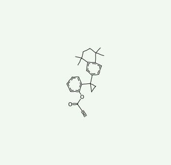 C#CC(=O)Oc1ccccc1C1(c2ccc3c(c2)C(C)(C)CCC3(C)C)CC1